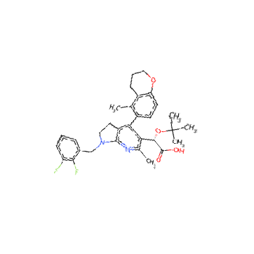 Cc1nc2c(c(-c3ccc4c(c3C)CCCO4)c1[C@H](OC(C)(C)C)C(=O)O)CCN2Cc1cccc(F)c1F